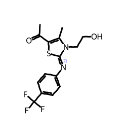 CC(=O)c1s/c(=N\c2ccc(C(F)(F)F)cc2)n(CCO)c1C